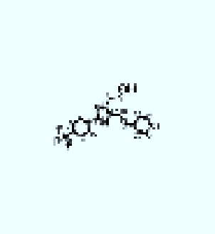 OCCc1sc(-c2ccc(C(F)(F)F)cc2)nc1CSc1ccccc1